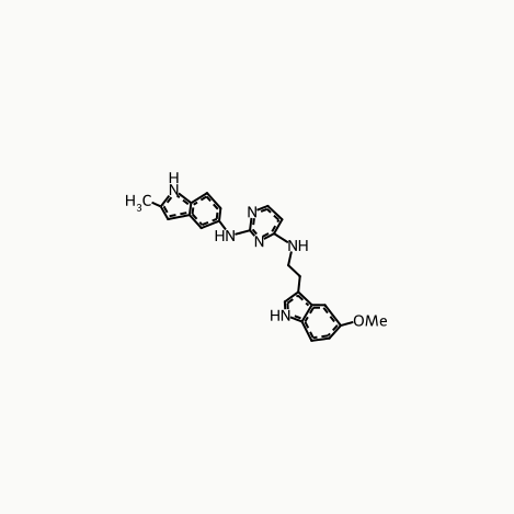 COc1ccc2[nH]cc(CCNc3ccnc(Nc4ccc5[nH]c(C)cc5c4)n3)c2c1